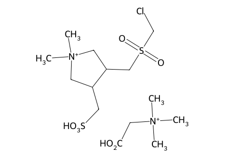 C[N+](C)(C)CC(=O)O.C[N+]1(C)CC(CS(=O)(=O)O)C(CS(=O)(=O)CCl)C1